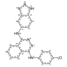 Clc1ccc(Nc2nnc(Nc3ccc4[nH]nnc4c3)c3ccccc23)cc1